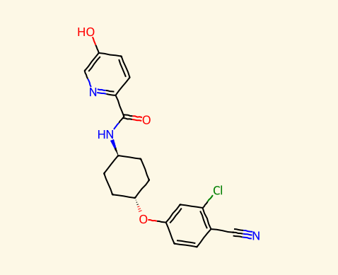 N#Cc1ccc(O[C@H]2CC[C@H](NC(=O)c3ccc(O)cn3)CC2)cc1Cl